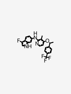 Cc1c(OC(C)c2ccc(C(F)(F)F)cc2)ccnc1Nc1ccc2c(F)c[nH]c2c1